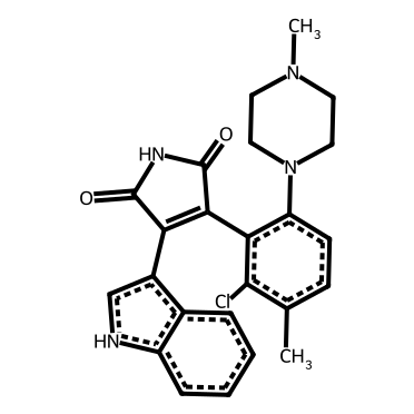 Cc1ccc(N2CCN(C)CC2)c(C2=C(c3c[nH]c4ccccc34)C(=O)NC2=O)c1Cl